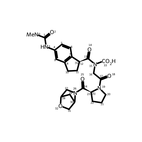 CNC(=O)Nc1ccc2c(c1)CC[C@@H]2C(=O)N(CC(=O)N1CCC[C@H]1C(=O)N1CC2CC1CO2)C(=O)O